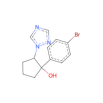 OC1(c2ccc(Br)cc2)CCCC1n1cncn1